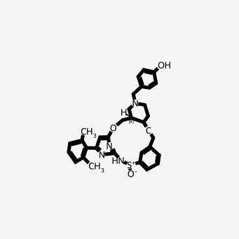 Cc1cccc(C)c1-c1cc2nc(n1)N[S+]([O-])c1cccc(c1)CCC1CCN(Cc3ccc(O)cc3)C[C@@H]1CO2